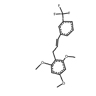 COc1cc(OC)c(C/C=C/c2cccc(C(F)(F)F)c2)c(OC)c1